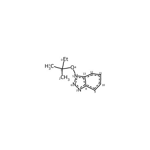 CCC(C)(C)On1nnc2ccccc21